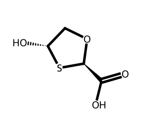 O=C(O)[C@@H]1OC[C@@H](O)S1